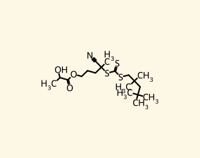 CC(O)C(=O)OCCCC(C)(C#N)SC(=S)SCC(C)(C)CC(C)(C)C